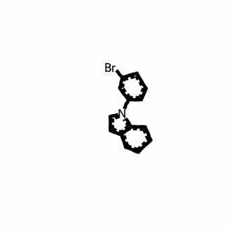 Brc1cccc(-n2ccc3ccccc32)c1